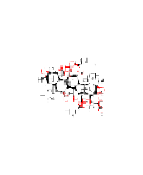 CC(=O)O[C@H]1[C@@H]2[C@H]([C@H](C)[C@H]3O[C@]34OC(=O)[C@@](C)(O)[C@]24C)[C@]2(C)[C@@H]1C1C([C@H](O)[C@@H]2OC(C)=O)[C@]2(C(C)=O)[C@H](C[C@@H]3O[C@@H]3[C@@H]2O)[C@H](C)[C@@H]1O